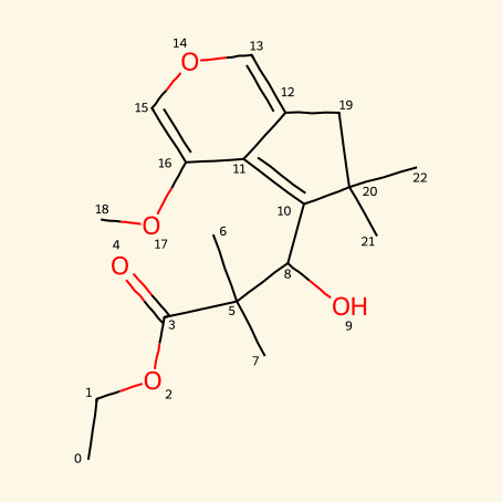 CCOC(=O)C(C)(C)C(O)C1=C2C(=COC=C2OC)CC1(C)C